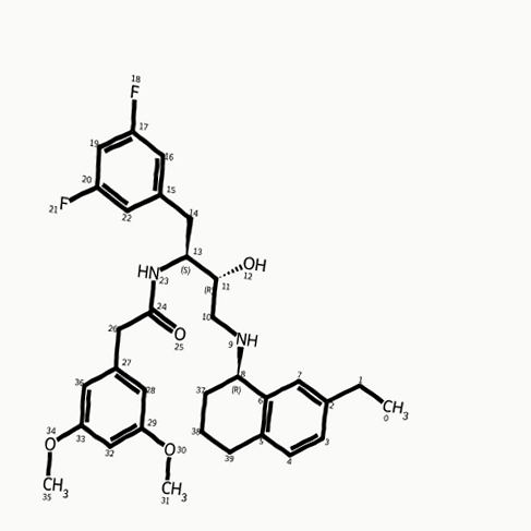 CCc1ccc2c(c1)[C@H](NC[C@@H](O)[C@H](Cc1cc(F)cc(F)c1)NC(=O)Cc1cc(OC)cc(OC)c1)CCC2